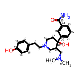 CN(C)CC1CN(CCc2ccc(O)cc2)CCC1(O)c1cccc(C(N)=O)c1